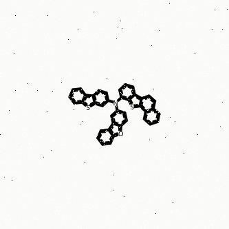 c1ccc2c(c1)ccc1c3cccc(N(c4ccc5c(c4)sc4ccccc45)c4ccc5oc6ccccc6c5c4)c3sc21